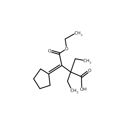 CCOC(=O)C(=C1CCCC1)C(CC)(CC)C(=O)O